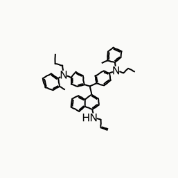 C=CCNc1ccc(C(c2ccc(N(CCC)c3ccccc3C)cc2)c2ccc(N(CCC)c3ccccc3C)cc2)c2ccccc12